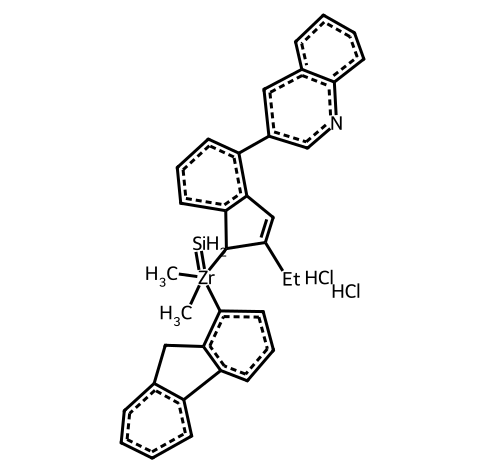 CCC1=Cc2c(-c3cnc4ccccc4c3)cccc2[CH]1[Zr]([CH3])([CH3])(=[SiH2])[c]1cccc2c1Cc1ccccc1-2.Cl.Cl